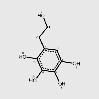 OCCc1cc(O)c(O)c(O)c1O